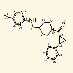 CCc1cnc(NCC2CCN(C(=O)[C@@H]3C[C@H]3c3ccccc3)CC2)nc1